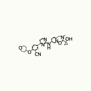 CN(Cc1ccc(Nc2nccc(-c3ccc(OC4CCOCC4)c(C#N)c3)n2)cn1)C(=O)C1(O)CC1